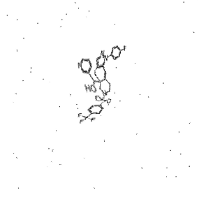 O=S(=O)(c1ccc(C(F)(F)F)cc1)N1CCC2=Cc3c(cnn3-c3ccc(F)cc3)C[C@]2([C@@H](O)c2cccnc2)C1